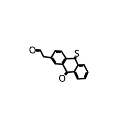 O=CCc1ccc2c(c1)C(=O)c1ccccc1C2=S